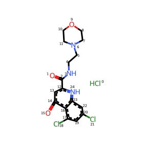 Cl.O=C(NCCN1CCOCC1)c1cc(=O)c2c(Cl)cc(Cl)cc2[nH]1